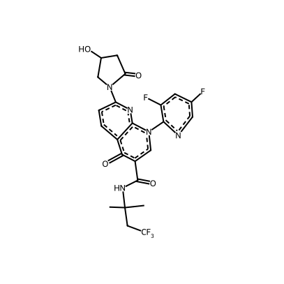 CC(C)(CC(F)(F)F)NC(=O)c1cn(-c2ncc(F)cc2F)c2nc(N3CC(O)CC3=O)ccc2c1=O